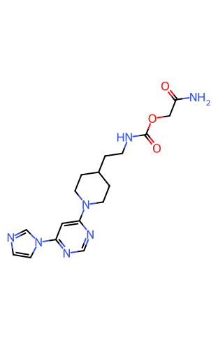 NC(=O)COC(=O)NCCC1CCN(c2cc(-n3ccnc3)ncn2)CC1